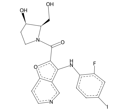 O=C(c1oc2ccncc2c1Nc1ccc(I)cc1F)N1CC[C@@H](O)[C@H]1CO